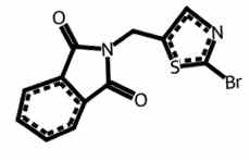 O=C1c2ccccc2C(=O)N1Cc1cnc(Br)s1